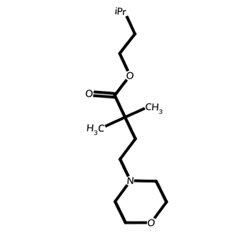 CC(C)CCOC(=O)C(C)(C)CCN1CCOCC1